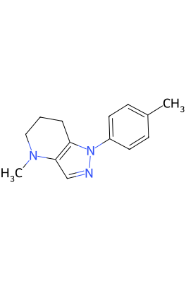 Cc1ccc(-n2ncc3c2CCCN3C)cc1